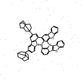 c1ccc2c(c1)sc1c3c4c(cc12)-c1cc(C25CCC6CC(CC6C2)C5)cc2c5cc(C67CC8CC(CC(C8)C6)C7)ccc5n(c12)B4c1cccc2c4sc5ccccc5c4n-3c12